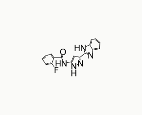 O=C(Nc1cc(-c2nc3ccccc3[nH]2)n[nH]1)c1ccccc1F